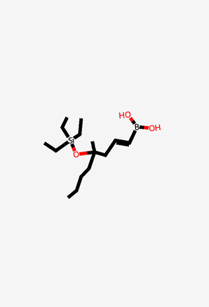 CCCCC(C)(CC=CB(O)O)O[Si](CC)(CC)CC